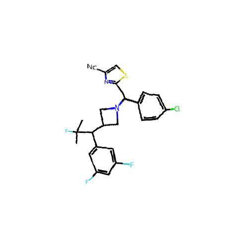 CC(C)(F)C(c1cc(F)cc(F)c1)C1CN(C(c2ccc(Cl)cc2)c2nc(C#N)cs2)C1